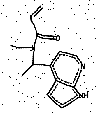 C=CC(=O)N(C)C(C)c1ccnc2[nH]ccc12